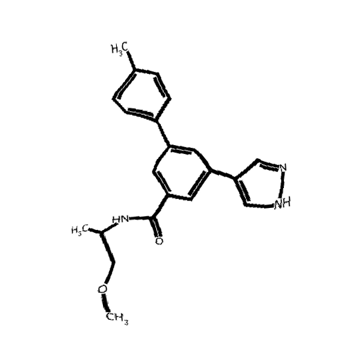 COCC(C)NC(=O)c1cc(-c2ccc(C)cc2)cc(-c2cn[nH]c2)c1